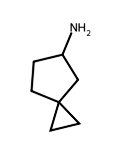 NC1CCC2(CC2)C1